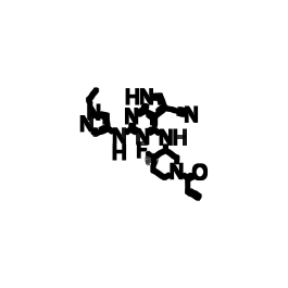 C=CC(=O)N1CC[C@@H](F)C(Nc2nc(Nc3cnn(CC)c3)nc3[nH]cc(C#N)c23)C1